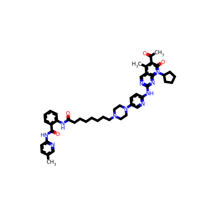 CC(=O)c1c(C)c2cnc(Nc3ccc(N4CCN(CCCCCCCC(=O)Nc5ccccc5C(=O)Nc5ccc(C)cn5)CC4)cn3)nc2n(C2CCCC2)c1=O